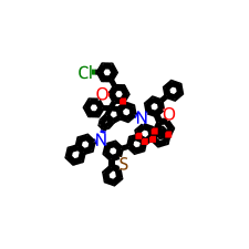 Clc1cccc(-c2cccc3c2Oc2ccccc2C32c3ccc(N(c4ccc5ccccc5c4)c4cc(-c5ccc(-c6ccccc6)cc5)c5sc6ccccc6c5c4)cc3-c3cc(N(c4ccccc4)c4ccc(-c5ccccc5)c5oc6ccccc6c45)ccc32)c1